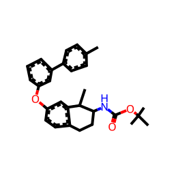 Cc1ccc(-c2cccc(Oc3ccc4c(c3)C(C)C(NC(=O)OC(C)(C)C)CC4)c2)cc1